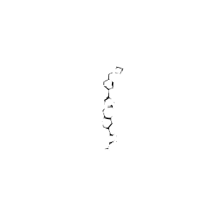 Fc1cc(-c2nnc(C(F)F)o2)cnc1Cn1cc(-c2ccc(CN3CCC3)cc2)nn1